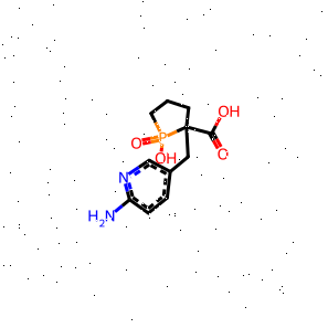 Nc1ccc(CC2(C(=O)O)CCCP2(=O)O)cn1